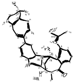 CN1C(=O)c2cccc(OC(F)F)c2[C@H]2C[C@@H]1c1nc3ccc(-c4cnc5c(c4)OC[C@@]5(C)N)cc3n12